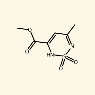 COC(=O)C1=CC(C)=NS(=O)(=O)N1